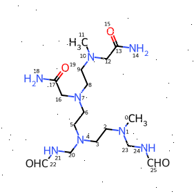 CN(CCN(CCN(CCN(C)CC(N)=O)CC(N)=O)CNC=O)CNC=O